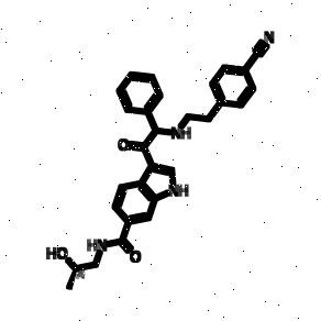 C[C@@H](O)CNC(=O)c1ccc2c(C(=O)C(NCCc3ccc(C#N)cc3)c3ccccc3)c[nH]c2c1